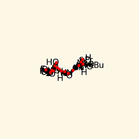 CCCSc1nc(NCCNC(=O)OC(C)(C)C)c2nnn(Cc3ccc(C#CCNC(=O)C4CCN(CCNC[C@H](O)Cn5c(C(C)(C)CO)cc6cc(NC(=O)C7(c8ccc9c(c8)OC(F)(F)O9)CC7)c(F)cc65)CC4)cc3)c2n1